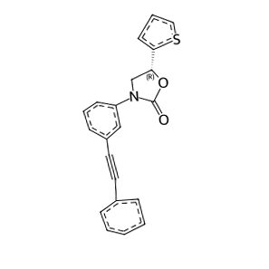 O=C1O[C@@H](c2cccs2)CN1c1cccc(C#Cc2ccccc2)c1